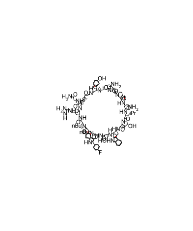 CCCC[C@H]1C(=O)N(C)[C@@H](CCCC)C(=O)NC(CCCNC(=N)N)C(=O)N[C@H](C(=O)NCC(N)=O)CSCC(=O)N[C@@H](Cc2ccc(O)cc2)C(=O)N(C)[C@@H](C)C(=O)N[C@@H](CC(N)=O)C(=O)N2CCC[C@H]2C(=O)N[C@@H](CN)C(=O)N[C@@H](CC(C)C)C(=O)N2C[C@H](O)C[C@H]2C(=O)N[C@@H](Cc2c[nH]c3ccccc23)C(=O)N[C@@H](CO)C(=O)N[C@@H](Cc2c(-c3ccc(F)cc3)[nH]c3ccccc23)C(=O)N1C